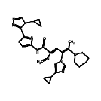 C=N/C(=C\C(=C(/C)N1CCCCC1)n1cnc(C2CC2)c1)C(=O)Nc1csc(-c2nncn2C2CC2)n1